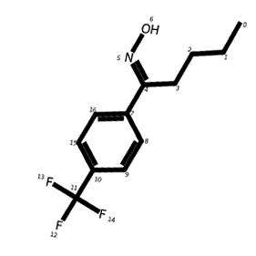 CCCCC(=NO)c1ccc(C(F)(F)F)cc1